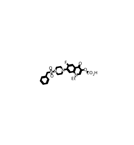 CCn1cc(OC(=O)O)c(=O)c2cc(F)c(N3CCN(S(=O)(=O)Cc4ccccc4)CC3)cc21